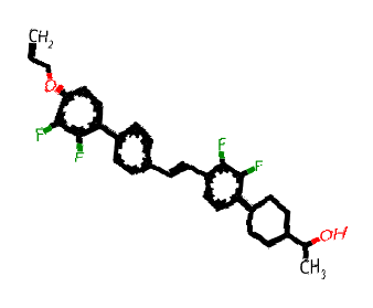 C=CCOc1ccc(-c2ccc(/C=C/c3ccc(C4CCC(C(C)O)CC4)c(F)c3F)cc2)c(F)c1F